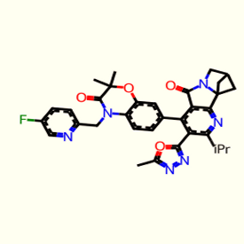 Cc1nnc(-c2c(C(C)C)nc3c(c2-c2ccc4c(c2)OC(C)(C)C(=O)N4Cc2ccc(F)cn2)C(=O)N2CC4CC32C4)o1